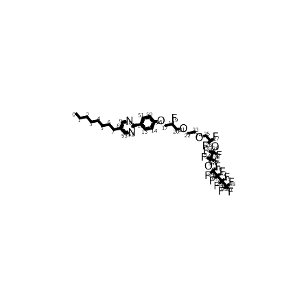 CCCCCCCCc1cnc(-c2ccc(OC[C@H](F)COCCOCC(F)(F)OC(F)(F)C(F)(F)OC(F)(F)C(F)(F)C(F)(F)C(F)(F)F)cc2)nc1